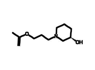 C=C(C)OCCCN1CCC[C@H](O)C1